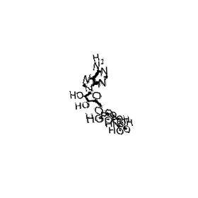 Nc1ncnc2c1ncn2C1OC(COP(=O)(O)OP(=O)(O)NP(=O)(O)O)C(O)C1O